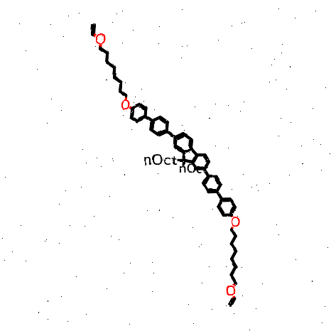 C=COCCCCCCCCOc1ccc(-c2ccc(-c3ccc4c(c3)C(CCCCCCCC)(CCCCCCCC)c3cc(-c5ccc(-c6ccc(OCCCCCCCCOC=C)cc6)cc5)ccc3-4)cc2)cc1